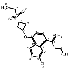 C=C(OCC)c1ccc(O[C@H]2C[C@@H](S(=O)(=O)CC)C2)c2cnc(Cl)cc12